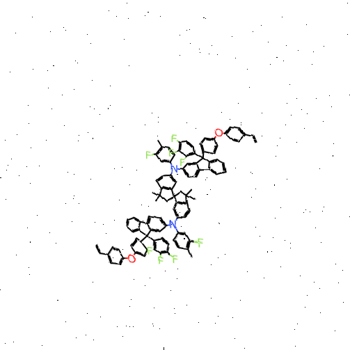 C=Cc1ccc(OC2=CCC(C3(c4ccc(F)c(F)c4F)c4ccccc4-c4ccc(N(c5ccc(C)c(F)c5)c5ccc6c(c5)C5(CC(C)(C)c7ccc(N(c8ccc(C)c(F)c8)c8ccc9c(c8)C(c8ccc(Oc%10ccc(C=C)cc%10)cc8)(c8ccc(F)c(F)c8F)c8ccccc8-9)cc75)CC6(C)C)cc43)C=C2)cc1